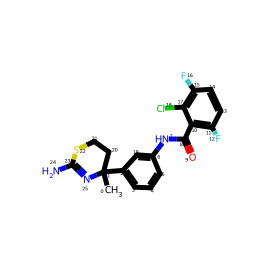 CC1(c2cccc(NC(=O)c3c(F)ccc(F)c3Cl)c2)CCSC(N)=N1